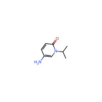 CC(C)n1cc(N)ccc1=O